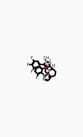 Cn1nc2c(c1-c1cc(F)c(F)c(F)c1)C[C@@H]1CCC[C@H]2N1C(=O)c1cccc(F)c1-n1nccn1